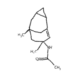 CC(=O)NC1(C)C=C2CC(C)(CC3CC23)C1